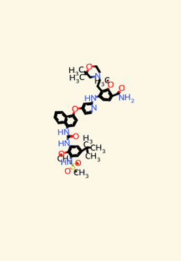 COc1c(NC(=O)Nc2ccc(Oc3ccnc(Nc4ccc(C(N)=O)c(OC)c4CCN4CCOC(C)(C)C4)c3)c3ccccc23)cc(C(C)(C)C)cc1NS(C)(=O)=O